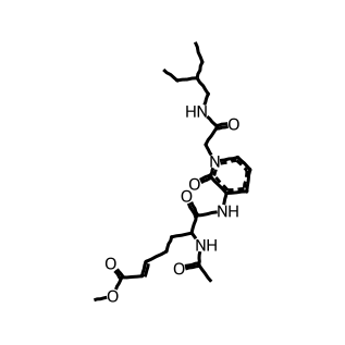 CCC(CC)CNC(=O)Cn1cccc(NC(=O)C(CCC=CC(=O)OC)NC(C)=O)c1=O